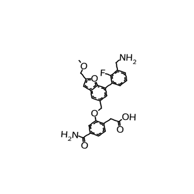 COCc1cc2cc(COc3cc(C(N)=O)ccc3CC(=O)O)cc(-c3cccc(CN)c3F)c2o1